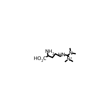 CN(C)C(NCCCC(N)C(=O)O)=[N+](C)C